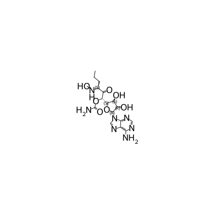 CCC[C@H](NO)C(=O)C(OC(N)=O)[C@H]1O[C@@H](n2cnc3c(N)ncnc32)[C@H](O)[C@@H]1O